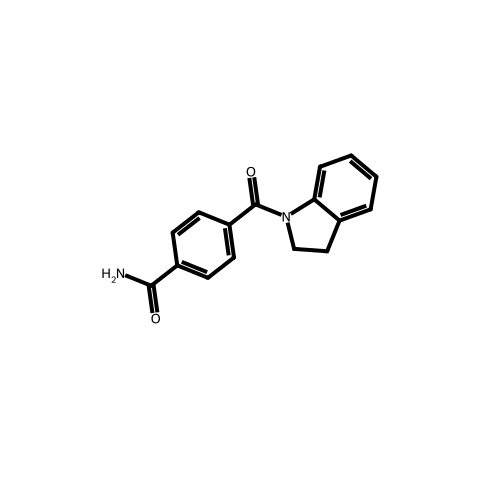 NC(=O)c1ccc(C(=O)N2CCc3ccccc32)cc1